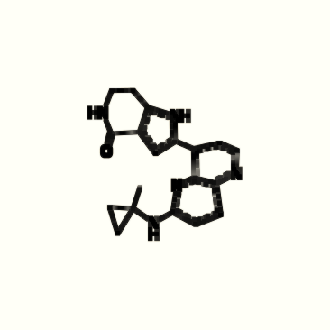 CC1(Nc2ccc3nccc(-c4cc5c([nH]4)CCNC5=O)c3n2)CC1